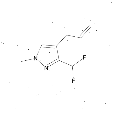 C=CCc1cn(C)nc1C(F)F